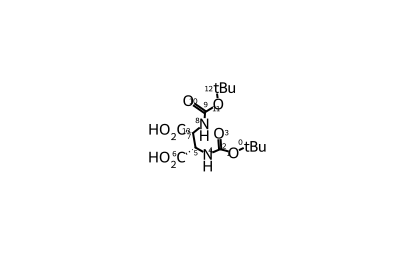 CC(C)(C)OC(=O)N[C@H](C(=O)O)[C@@H](NC(=O)OC(C)(C)C)C(=O)O